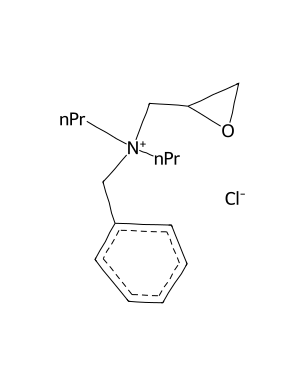 CCC[N+](CCC)(Cc1ccccc1)CC1CO1.[Cl-]